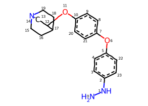 NNc1ccc(Oc2ccc(OC3CN4CCC3CC4)cc2)cc1